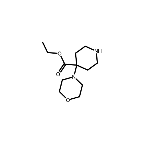 CCOC(=O)C1(N2CCOCC2)CCNCC1